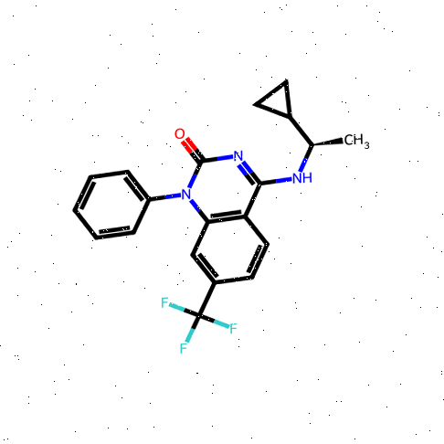 C[C@@H](Nc1nc(=O)n(-c2ccccc2)c2cc(C(F)(F)F)ccc12)C1CC1